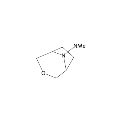 CNN1C2CCC1COC2